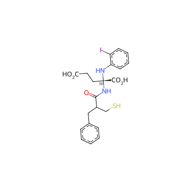 O=C(O)CC[C@@](NC(=O)C(CS)Cc1ccccc1)(Nc1ccccc1I)C(=O)O